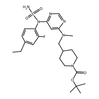 CCc1ccc(N(c2cc(N(C)CC3CCN(C(=O)OC(C)(C)C)CC3)ncn2)S(N)(=O)=O)c(F)c1